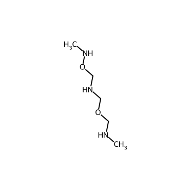 CNCOCNCONC